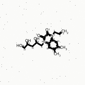 C=CCn1c(=O)c(=O)n(CC(O)CC(O)CO)c2cc(C)c(C)cc21